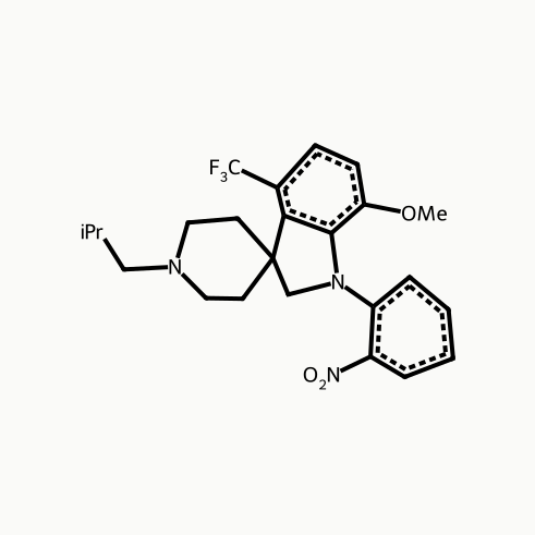 COc1ccc(C(F)(F)F)c2c1N(c1ccccc1[N+](=O)[O-])CC21CCN(CC(C)C)CC1